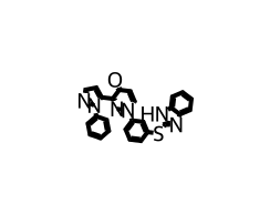 O=c1ccn(-c2cccc(Sc3nc4ccccc4[nH]3)c2)nc1-c1ccnn1-c1ccccc1